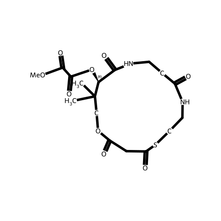 COC(=O)C(=O)O[C@H]1C(=O)NCCC(=O)NCCSC(=O)CC(=O)OCC1(C)C